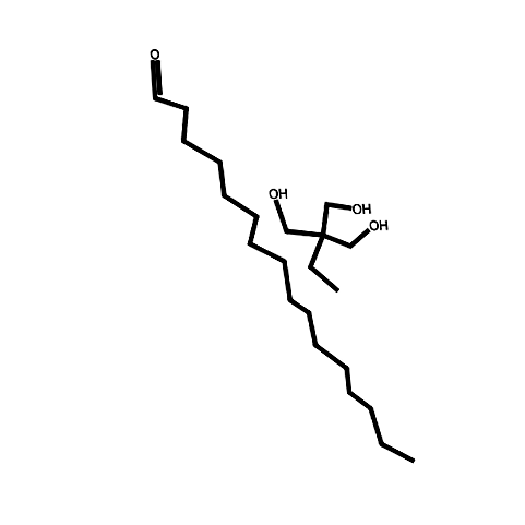 CCC(CO)(CO)CO.CCCCCCCCCCCCCCCC=O